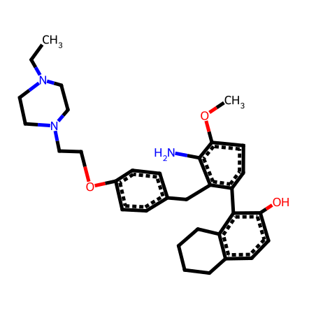 CCN1CCN(CCOc2ccc(Cc3c(-c4c(O)ccc5c4CCCC5)ccc(OC)c3N)cc2)CC1